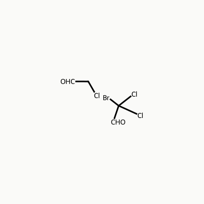 O=CC(Cl)(Cl)Br.O=CCCl